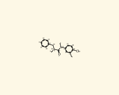 Cc1cc(N(C)C(=O)[C@@H](C)Cc2ccccc2)ccc1Cl